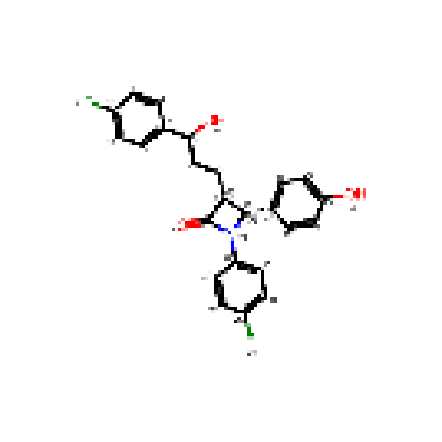 O=C1[C@@H](CCC(O)c2ccc(F)cc2)[C@H](c2ccc(O)cc2)N1c1ccc(F)cc1